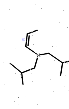 C/C=C\N(CC(C)C)CC(C)C